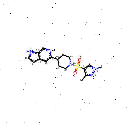 Cc1nn(C)cc1S(=O)(=O)N1CCC(c2cc3cc[nH]c3cn2)CC1